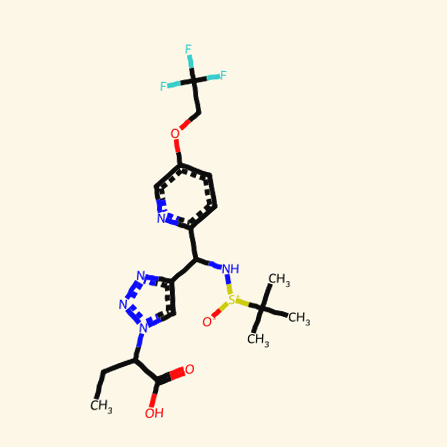 CCC(C(=O)O)n1cc(C(N[S+]([O-])C(C)(C)C)c2ccc(OCC(F)(F)F)cn2)nn1